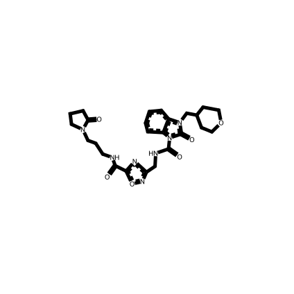 O=C(NCCCN1CCCC1=O)c1nc(CNC(=O)n2c(=O)n(CC3CCOCC3)c3ccccc32)no1